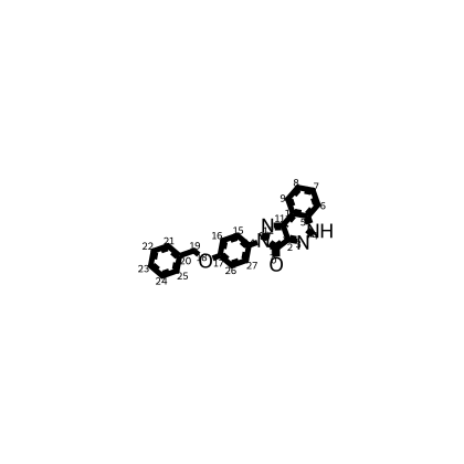 O=c1c2n[nH]c3ccccc3c-2nn1-c1ccc(OCc2ccccc2)cc1